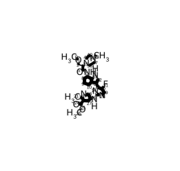 COC[C@H](C(=O)Nc1cccc2c(-c3nc(Nc4cnc(C)c(C(=O)OC)c4)ncc3F)c[nH]c12)N1CCN(C)CC1